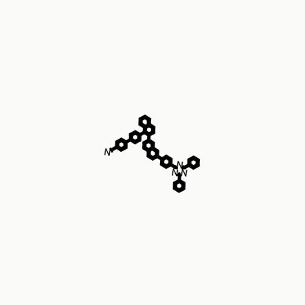 N#Cc1ccc(-c2ccc(-c3c(-c4ccc5ccc(-c6ccc(-c7nc(-c8ccccc8)nc(-c8ccccc8)n7)cc6)cc5c4)ccc4ccccc34)cc2)cc1